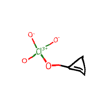 [O-][Cl+3]([O-])([O-])OC1=CC1